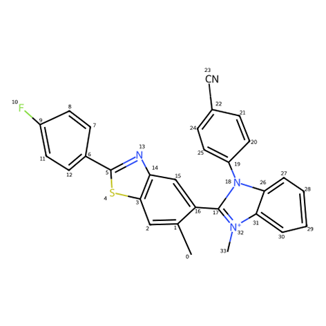 Cc1cc2sc(-c3ccc(F)cc3)nc2cc1-c1n(-c2ccc(C#N)cc2)c2ccccc2[n+]1C